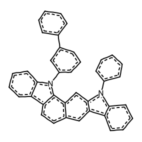 c1ccc(-c2cccc(-n3c4ccccc4c4ccc5cc6c7ccccc7n(-c7ccccc7)c6cc5c43)c2)cc1